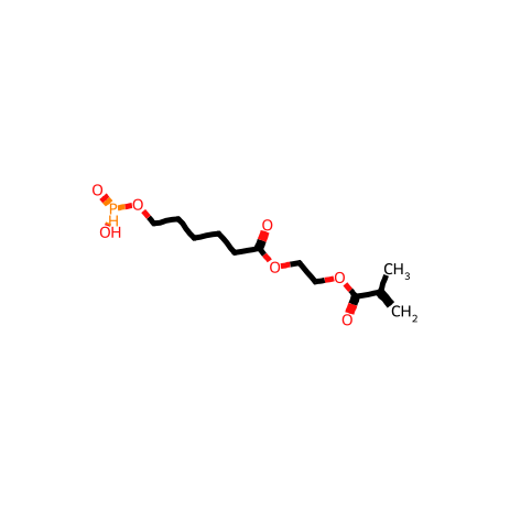 C=C(C)C(=O)OCCOC(=O)CCCCCO[PH](=O)O